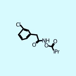 CC(C)C(=O)ONC(=O)Cc1cccc(Cl)c1